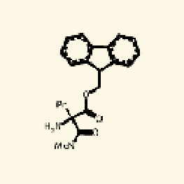 CNC(=O)[C@](N)(C(=O)OCC1c2ccccc2-c2ccccc21)C(C)C